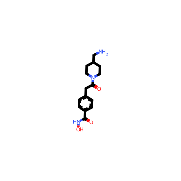 NCC1CCN(C(=O)Cc2ccc(C(=O)NO)cc2)CC1